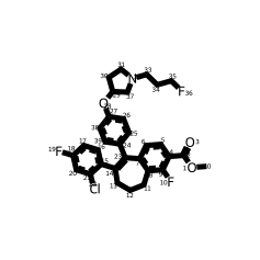 COC(=O)c1ccc2c(c1F)CCCC(c1ccc(F)cc1Cl)=C2c1ccc(OC2CCN(CCCF)C2)cc1